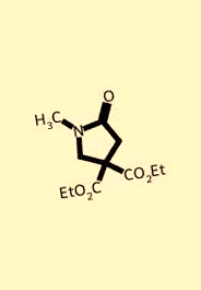 CCOC(=O)C1(C(=O)OCC)CC(=O)N(C)C1